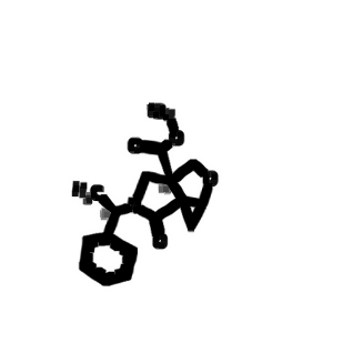 C[C@H](c1ccccc1)N1C[C@]2(C(=O)OC(C)(C)C)COC3CC32C1=O